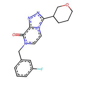 O=c1c2nnc(C3CCCOC3)n2ccn1Cc1cccc(F)c1